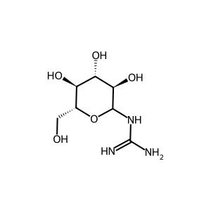 N=C(N)NC1O[C@H](CO)[C@@H](O)[C@H](O)[C@H]1O